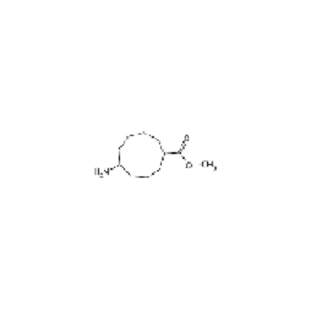 COC(=O)C1CCCCC(N)CCC1